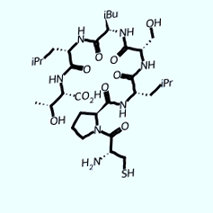 CC[C@H](C)[C@H](NC(=O)[C@H](CO)NC(=O)[C@H](CC(C)C)NC(=O)[C@@H]1CCCN1C(=O)[C@@H](N)CS)C(=O)N[C@@H](CC(C)C)C(=O)N[C@H](C(=O)O)[C@@H](C)O